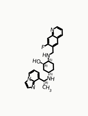 C[C@@H](N[C@H]1CC[C@H](NCc2cc3cccnc3cc2F)[C@H](O)C1)c1cccn2ccnc12